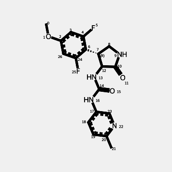 COc1cc(F)c([C@@H]2CNC(=O)C2NC(=O)Nc2ccc(C)nc2)c(F)c1